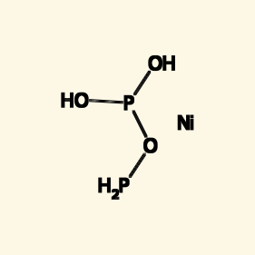 OP(O)OP.[Ni]